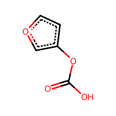 O=C(O)Oc1ccoc1